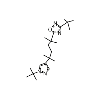 CC(C)(C)c1noc(C(C)(C)CCC(C)(C)c2cnn(C(C)(C)C)c2)n1